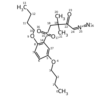 CCCCOc1ccc(OCCCC)c(S(=O)(=O)CC(C)(C)C(=O)C=[N+]=[N-])c1